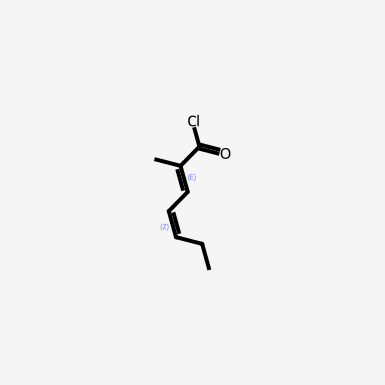 CC/C=C\C=C(/C)C(=O)Cl